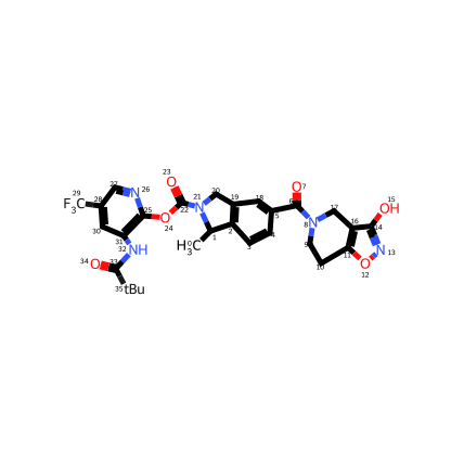 CC1c2ccc(C(=O)N3CCc4onc(O)c4C3)cc2CN1C(=O)Oc1ncc(C(F)(F)F)cc1NC(=O)C(C)(C)C